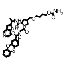 CC(NC(=O)[C@@H]1CC(COCCCCOC(N)=O)CN1C(=O)CNC(=O)c1ccc2c(c1)Oc1ccccc1S2)c1cc2cnccc2[nH]1